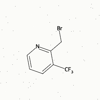 FC(F)(F)c1cccnc1CBr